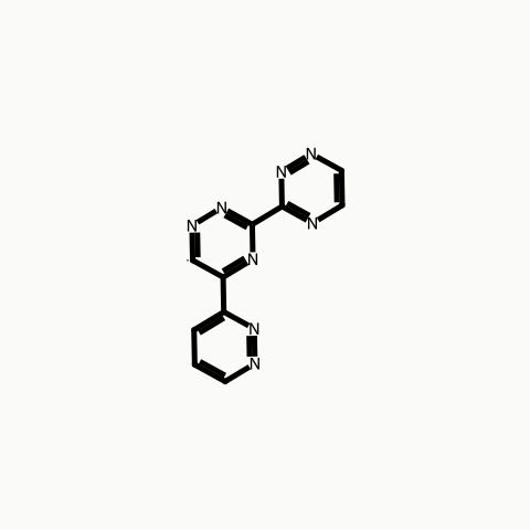 [c]1nnc(-c2nccnn2)nc1-c1cccnn1